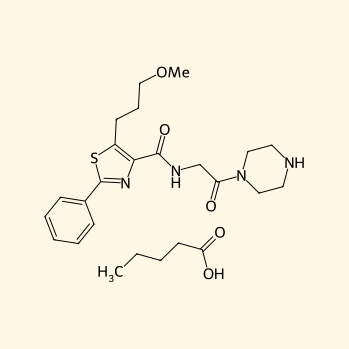 CCCCC(=O)O.COCCCc1sc(-c2ccccc2)nc1C(=O)NCC(=O)N1CCNCC1